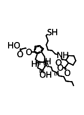 CCCCC[C@@H](CC[C@@H]1[C@H]2Cc3cccc(OCC(=O)O)c3C[C@H]2C[C@H]1O)OC(=O)C1CCCCC1C(=O)NCCCCCCS